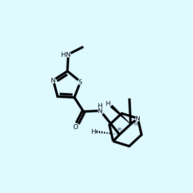 CNc1ncc(C(=O)N[C@@H]2C3CCN(CC3)[C@H]2C)s1